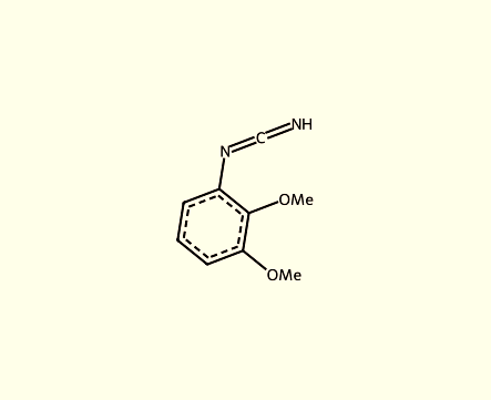 COc1cccc(N=C=N)c1OC